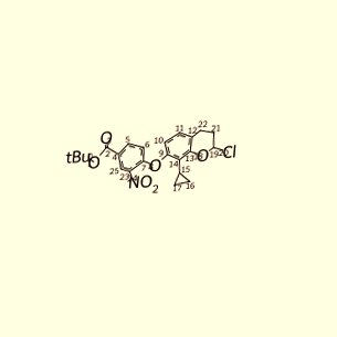 CC(C)(C)OC(=O)c1ccc(Oc2ccc3c(c2C2CC2)OC(Cl)CC3)c([N+](=O)[O-])c1